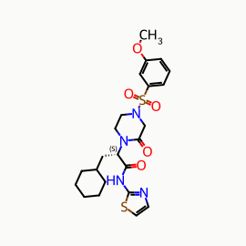 COc1cccc(S(=O)(=O)N2CCN([C@@H](CC3CCCCC3)C(=O)Nc3nccs3)C(=O)C2)c1